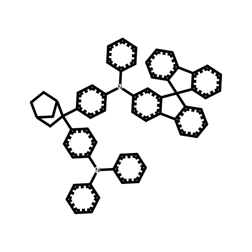 c1ccc(N(c2ccccc2)c2ccc(C3(c4ccc(N(c5ccccc5)c5ccc6c(c5)C5(c7ccccc7-c7ccccc75)c5ccccc5-6)cc4)CC4CCC3C4)cc2)cc1